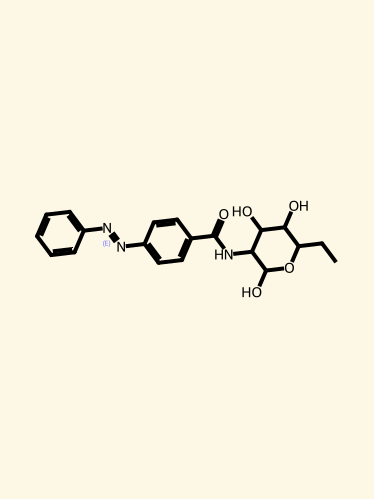 CCC1OC(O)C(NC(=O)c2ccc(/N=N/c3ccccc3)cc2)C(O)C1O